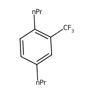 CCCc1ccc(CCC)c(C(F)(F)F)c1